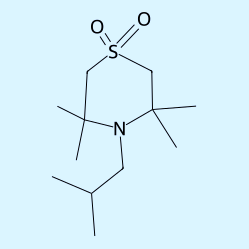 CC(C)CN1C(C)(C)CS(=O)(=O)CC1(C)C